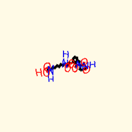 O=C(O)NCCCCCCNC(=O)COc1cccc2c1C(=O)N(C1CCC(=O)NC1=O)C2